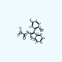 Cc1ccc(Br)c(-c2c(SC(=O)N(C)C)sc3ccccc23)c1